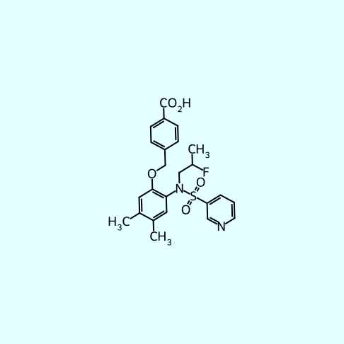 Cc1cc(OCc2ccc(C(=O)O)cc2)c(N(CC(C)F)S(=O)(=O)c2cccnc2)cc1C